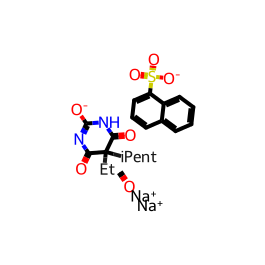 C=O.CCCC(C)C1(CC)C(=O)N=C([O-])NC1=O.O=S(=O)([O-])c1cccc2ccccc12.[Na+].[Na+]